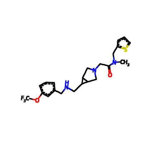 CN(Cc1cccs1)C(=O)CN1CC2C(CNCc3cccc(OC(F)(F)F)c3)C2C1